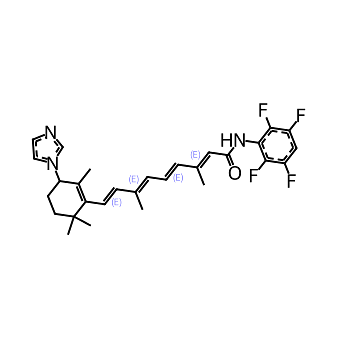 CC1=C(/C=C/C(C)=C/C=C/C(C)=C/C(=O)Nc2c(F)c(F)cc(F)c2F)C(C)(C)CCC1n1ccnc1